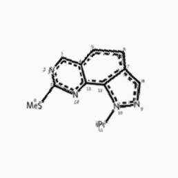 CSc1ncc2ccc3cnn(C(C)C)c3c2n1